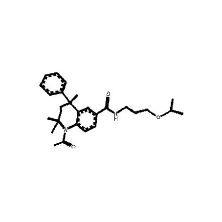 CC(=O)N1c2ccc(C(=O)NCCCOC(C)C)cc2C(C)(c2ccccc2)CC1(C)C